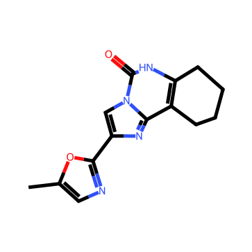 Cc1cnc(-c2cn3c(=O)[nH]c4c(c3n2)CCCC4)o1